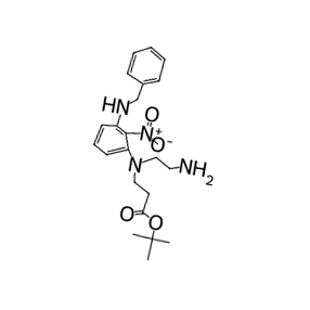 CC(C)(C)OC(=O)CCN(CCN)c1cccc(NCc2ccccc2)c1[N+](=O)[O-]